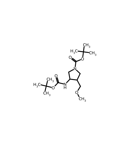 COCC1CN(C(=O)OC(C)(C)C)CC1NC(=O)OC(C)(C)C